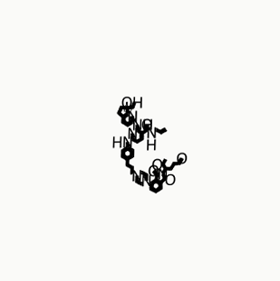 C=CCNC(=O)C1=CCC(Nc2ccc(CCCN3CCN(c4cccc5c4C(=O)N(C(CCC=O)C(C)=O)C5=O)CC3)cc2)N=C1Nc1ccc2c(n1)[C@@](O)(CC)CC2